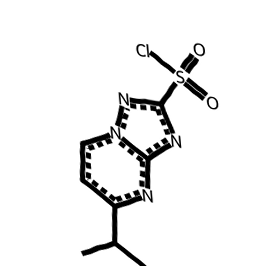 CC(C)c1ccn2nc(S(=O)(=O)Cl)nc2n1